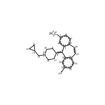 Cc1ccc2c(c1)C(=C1CCN(CC3CC3)CC1)c1cc(I)ccc1C=C2